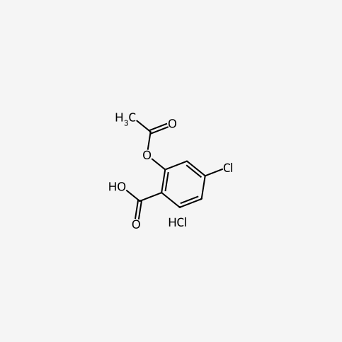 CC(=O)Oc1cc(Cl)ccc1C(=O)O.Cl